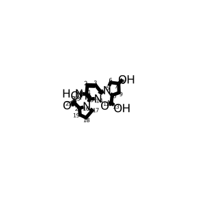 Nc1ccc(N2CC(O)CC2C(=O)O)nc1N1CCCC1C(=O)O